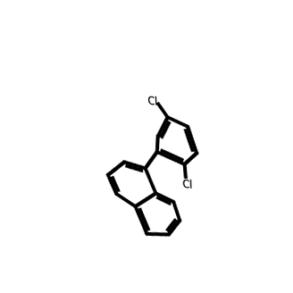 Clc1ccc(Cl)c(-c2cccc3ccccc23)c1